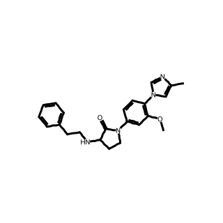 COc1cc(N2CCC(NCCc3ccccc3)C2=O)ccc1-n1cnc(C)c1